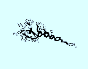 C=C(C)C(=O)OCC(COC(=O)C(=C)C)(COC(=O)C(=C)C)COc1c(CCCN)cc(-c2ccc(-c3ccc(C4CCC(CCCCC)CC4)cc3F)cc2CC)cc1CCCN